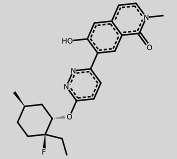 CC[C@]1(F)CC[C@@H](C)C[C@@H]1Oc1ccc(-c2cc3c(=O)n(C)ccc3cc2O)nn1